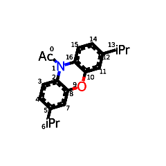 CC(=O)N1c2ccc(C(C)C)cc2Oc2cc(C(C)C)ccc21